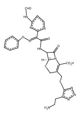 NCCn1nnnc1SCC1=C(C(=O)O)N2C(=O)C(NC(=O)C(=NOc3ccccc3)c3nccc(NC=O)n3)[C@@H]2SC1